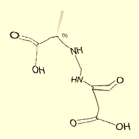 C[C@H](NNC(=O)C(=O)O)C(=O)O